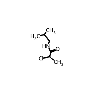 CC(C)CNC(=O)[C@@H](C)Cl